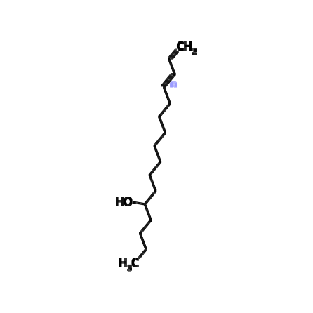 C=C/C=C/CCCCCCCC(O)CCCC